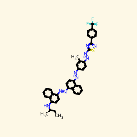 CCC(C)Nc1ccc(/N=N/c2ccc(/N=N/c3ccc(/N=N/c4nc(-c5ccc(C(F)(F)F)cc5)ns4)c(C)c3)c3ccccc23)c2ccccc12